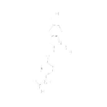 CCN1c2ccc(OC)cc2SC1COc1ccc(NC(C)=O)cc1